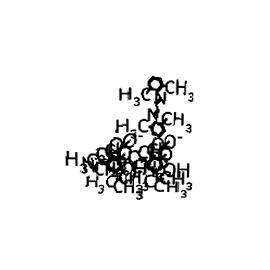 CC(C)(C)c1cc(C(C)(C)C)c(Cl)c(OC(=O)[O-])c1O.CC(C)(C)c1cc(C(C)(C)C)c(Cl)c(OC(=O)[O-])c1O.Cc1cccc(C)c1N=CC=Nc1c(C)cccc1C.[Ni+2]